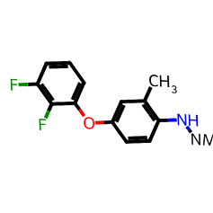 CNNc1ccc(Oc2cccc(F)c2F)cc1C